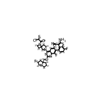 N#Cc1c(N)sc2c(F)ccc(-c3c(Cl)cc4c(N5CCC6(CCN6C(=O)C(F)Cl)C5)nc(OC[C@@]56CCCN5C[C@H](F)C6)nc4c3F)c12